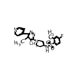 Cc1cc(F)ccc1S(=O)(=O)NC1CCN(c2nnc(-c3ccncc3)c(C)c2C)CC1